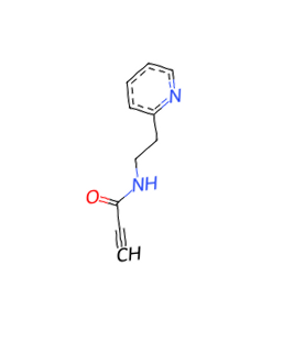 C#CC(=O)NCCc1ccccn1